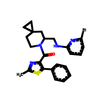 CCc1cccc(NCC2CC3(CCN2C(=O)c2nc(C)sc2-c2ccccc2)CC3)n1